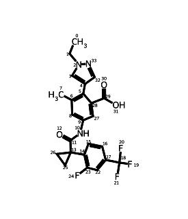 CCn1cc(-c2c(C)cc(NC(=O)C3(c4ccc(C(F)(F)F)cc4F)CC3)cc2C(=O)O)cn1